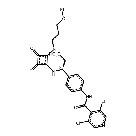 CCOCCCNc1c(N[C@@H](CC(=O)O)c2ccc(NC(=O)c3c(Cl)cncc3Cl)cc2)c(=O)c1=O